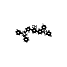 N#Cc1cc(-c2ccc(-c3nc4ccccc4o3)c(-c3ccccc3)c2)ccc1C1C=CC=C(c2nc(-c3ccccc3)nc(-c3ccccc3)n2)C1